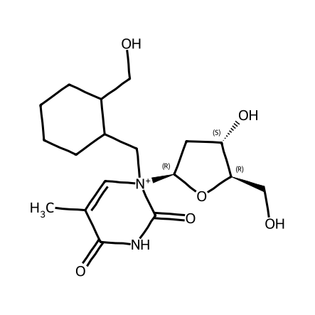 CC1=C[N+](CC2CCCCC2CO)([C@H]2C[C@H](O)[C@@H](CO)O2)C(=O)NC1=O